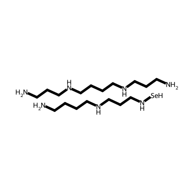 NCCCCNCCCN[SeH].NCCCNCCCCNCCCN